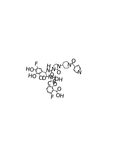 O=C(O)c1c(F)ccc2c1OB(O)[C@@H](NC(=O)[C@H](NC(=O)N1CCN(C3CCN(C(=O)c4ccncc4)CC3)C1=O)c1cc(F)c(O)c(O)c1Cl)C2